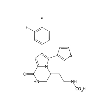 O=C(O)NCCC1CNC(=O)c2cc(-c3ccc(F)c(F)c3)c(-c3ccsc3)n21